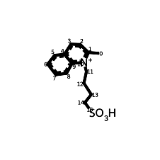 Cc1ccc2ccccc2[n+]1CCCCS(=O)(=O)O